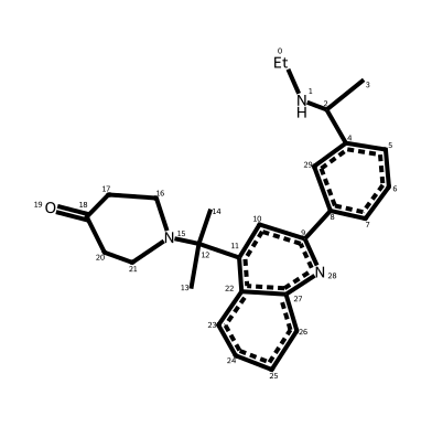 CCNC(C)c1cccc(-c2cc(C(C)(C)N3CCC(=O)CC3)c3ccccc3n2)c1